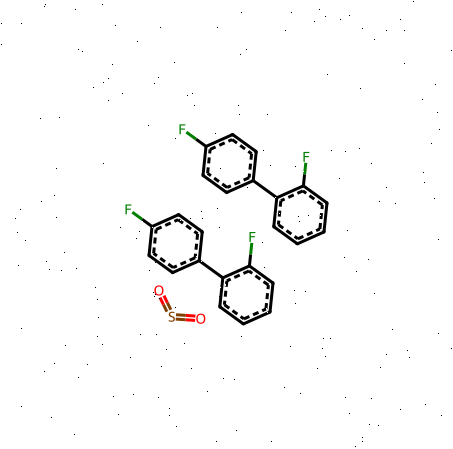 Fc1ccc(-c2ccccc2F)cc1.Fc1ccc(-c2ccccc2F)cc1.O=S=O